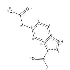 CC(=O)c1c[nH]c2ccc(CC(=O)O)cc12